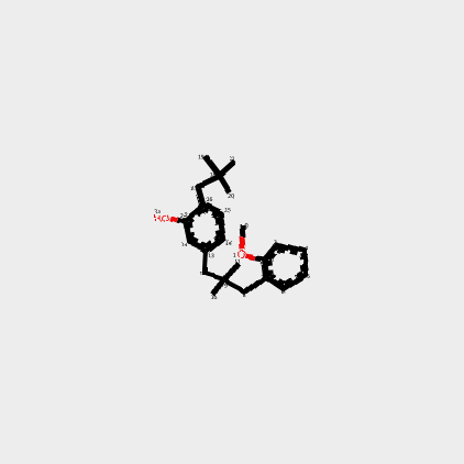 COc1ccccc1CC(C)(C)Cc1ccc(CC(C)(C)C)c(O)c1